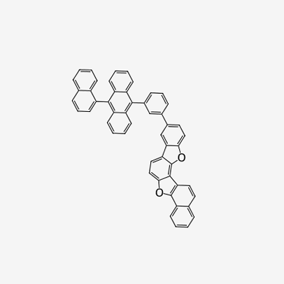 c1cc(-c2ccc3oc4c(ccc5oc6c7ccccc7ccc6c54)c3c2)cc(-c2c3ccccc3c(-c3cccc4ccccc34)c3ccccc23)c1